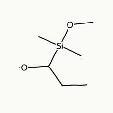 CCC([O])[Si](C)(C)OC